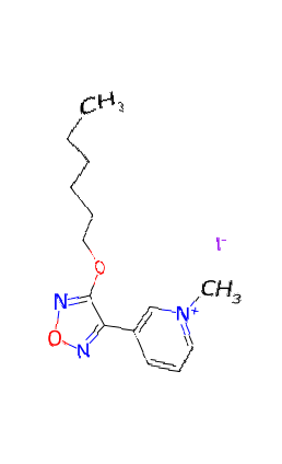 CCCCCCOc1nonc1-c1ccc[n+](C)c1.[I-]